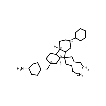 CCCCC1(CCCC)C2C[C@H](C3CCCCC3)CC[C@@H]2C2CC[C@H](C[C@H]3CC[C@@H](N)CC3)C[C@@H]21